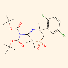 CC(C)(C)OC(=O)N(C(=O)OC(C)(C)C)C1=NC(C)(c2cc(Br)ccc2F)CS(=O)(=O)C1(C)C